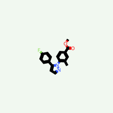 COC(=O)c1ccc(-n2nccc2-c2ccc(F)cc2)c(C)c1